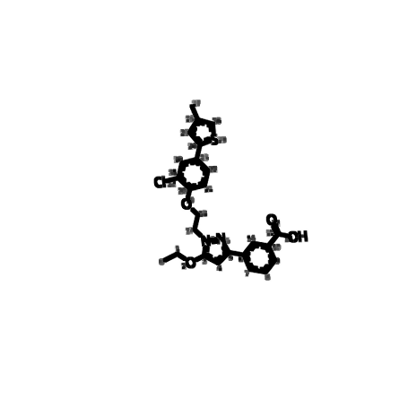 CCOc1cc(-c2cccc(C(=O)O)c2)nn1CCOc1ccc(-c2cc(C)cs2)cc1Cl